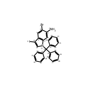 Nc1cc2c(cc1Br)c(I)cn2C(c1ccccc1)(c1ccccc1)c1ccccc1